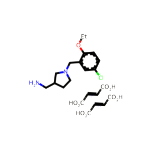 CCOc1ccc(Cl)cc1CN1CCC(CN)C1.O=C(O)/C=C/C(=O)O.O=C(O)/C=C/C(=O)O